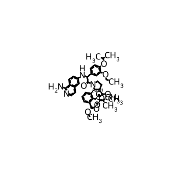 CCOc1cc(C(Nc2ccc3c(N)nccc3c2)C(=O)N2CC[C@@H](C(=O)OC)[C@H]2c2cccc(C(=O)OC)c2S(=O)(=O)C(C)C)ccc1OC(C)C